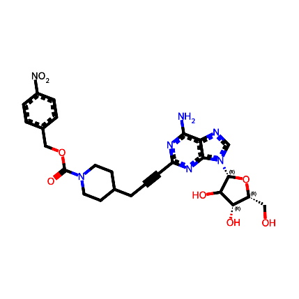 Nc1nc(C#CCC2CCN(C(=O)OCc3ccc([N+](=O)[O-])cc3)CC2)nc2c1ncn2[C@@H]1O[C@H](CO)[C@H](O)C1O